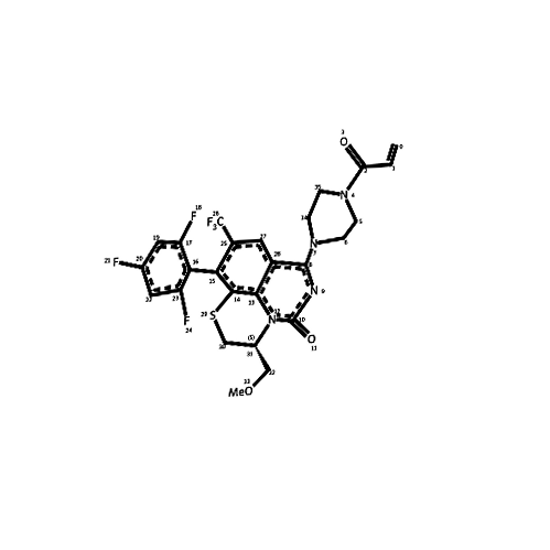 C=CC(=O)N1CCN(c2nc(=O)n3c4c(c(-c5c(F)cc(F)cc5F)c(C(F)(F)F)cc24)SC[C@@H]3COC)CC1